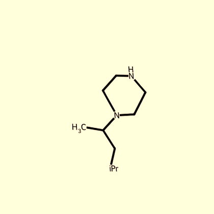 CC(C)CC(C)N1CCNCC1